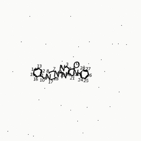 O=C1c2cnc(N3CCN(Cc4ccccc4)CC3)nc2CN1c1ccccc1